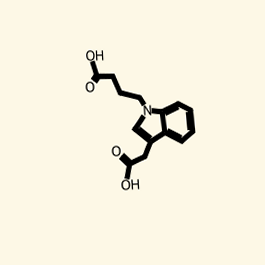 O=C(O)CCCn1cc(CC(=O)O)c2ccccc21